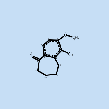 COc1ccc2c(c1Cl)CCCCC2=O